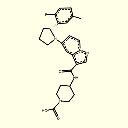 O=C(NC1CCN(C(=O)O)CC1)c1cnn2ccc(N3CCC[C@@H]3c3cc(F)ccc3F)cc12